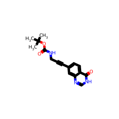 CC(C)(C)OC(=O)NCC#Cc1ccc2c(=O)[nH]cnc2c1